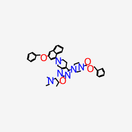 CCN(C)CC(C)Oc1nc2c(c(N3CCN(C(=O)OCc4ccccc4)CC3)n1)CCN(c1cc(OCc3ccccc3)cc3ccccc13)C2